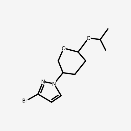 CC(C)OC1CCC(n2ccc(Br)n2)CO1